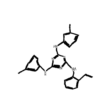 CCc1ccccc1Nc1nc(Nc2cccc(C)c2)nc(Nc2cccc(C)c2)n1